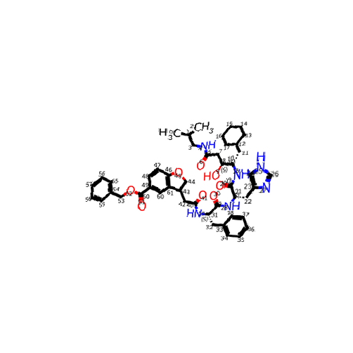 CC(C)CNC(=O)C[C@H](O)[C@H](CC1CCCCC1)NC(=O)[C@H](Cc1c[nH]cn1)NC(=O)[C@H](Cc1ccccc1)NC(=O)CC1COc2ccc(C(=O)OCc3ccccc3)cc21